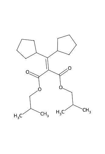 CC(C)COC(=O)C(C(=O)OCC(C)C)=C(C1CCCC1)C1CCCC1